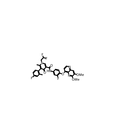 COc1cc2nccc(Oc3ccc(NC(=O)c4cn(CC(F)F)c(C)c(-c5ccc(F)cc5C)c4=O)cc3F)c2nc1OC